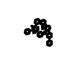 C=N/C(=N\C(=N/Cc1ccccc1)c1cccc(-n2c3cc(-c4ccccc4)ccc3c3ccc4c5ccccc5sc4c32)c1)c1ccccc1